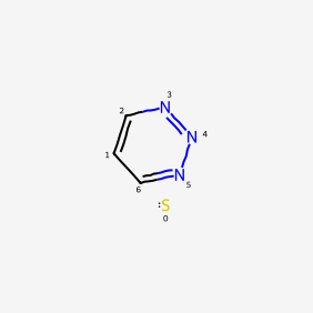 [S].c1cnnnc1